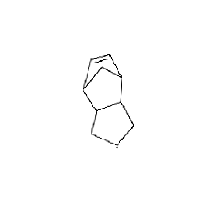 [CH]1CC2C3C=CC(C3)C2C1